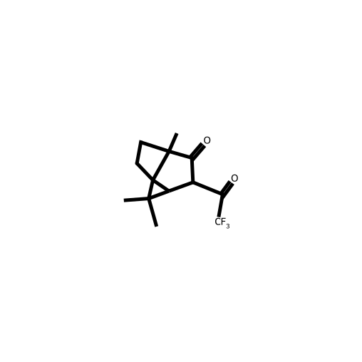 CC12CCC13C(C(C(=O)C(F)(F)F)C2=O)C3(C)C